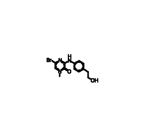 Cn1cc(Br)nc(Nc2ccc(CCO)cc2)c1=O